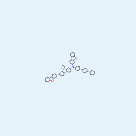 CC1(C)c2ccccc2-c2ccc(N(c3ccc(-c4ccc(-c5ccccc5)cc4)cc3)c3ccc4c(c3)C3(CCCC3)c3cc(-c5ccc6c(c5)oc5ccccc56)ccc3-4)cc21